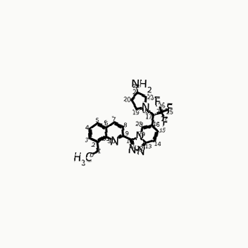 CCc1cccc2ccc(-c3nnc4ccc([C@@H](N5CC[C@H](N)C5)C(F)(F)F)cn34)nc12